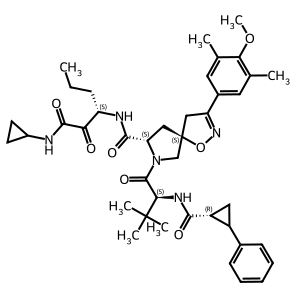 CCC[C@H](NC(=O)[C@@H]1C[C@]2(CC(c3cc(C)c(OC)c(C)c3)=NO2)CN1C(=O)[C@@H](NC(=O)[C@@H]1CC1c1ccccc1)C(C)(C)C)C(=O)C(=O)NC1CC1